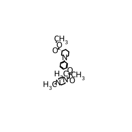 CCOC(=O)[C@@H]1CCCN(c2cccc(OC(C)(C)C(=O)N3CCN(C)CC3)c2)C1